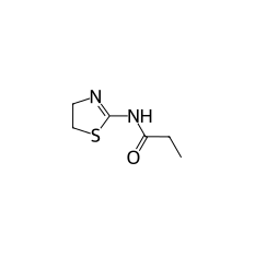 CCC(=O)NC1=NCCS1